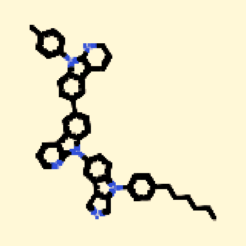 CCCCCCc1ccc(-n2c3c(c4cc(-n5c6ccc(-c7ccc8c(c7)c7c(n8-c8ccc(C)cc8)NCC=C7)cc6c6cccnc65)ccc42)C=[N+]=C3)cc1